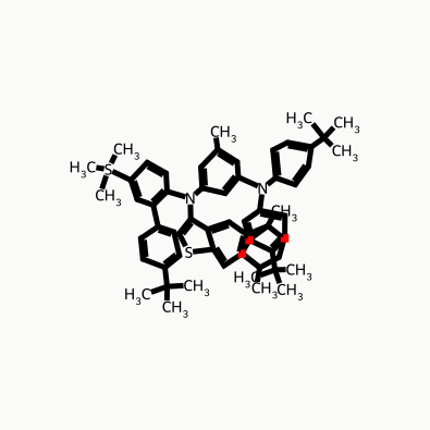 Cc1cc(N(c2ccc(C(C)(C)C)cc2)c2ccc(C(C)(C)C)cc2)cc(N(c2ccc(S(C)(C)C)cc2-c2ccc(C(C)(C)C)cc2)c2csc3cc4c(cc23)C2(C)CCC4(C)CC2)c1